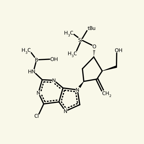 C=C1[C@H](CO)[C@@H](O[Si](C)(C)C(C)(C)C)C[C@@H]1n1cnc2c(Cl)nc(NB(C)O)nc21